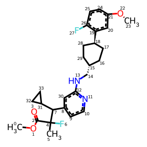 COC(=O)C(C)(F)C(c1ccnc(NC[C@H]2CC[C@H](c3cc(OC)ccc3F)CC2)c1)C1CC1